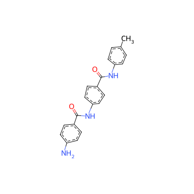 Cc1ccc(NC(=O)c2ccc(NC(=O)c3ccc(N)cc3)cc2)cc1